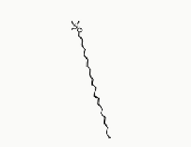 CCCCCCCCC=CCCCCCCCCCCCCO[Si](C)(C)C